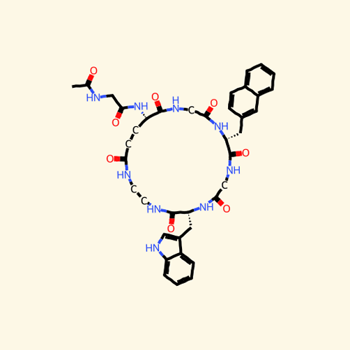 CC(=O)NCC(=O)N[C@H]1CCC(=O)NCCNC(=O)[C@@H](Cc2c[nH]c3ccccc23)NC(=O)CNC(=O)[C@@H](Cc2ccc3ccccc3c2)NC(=O)CNC1=O